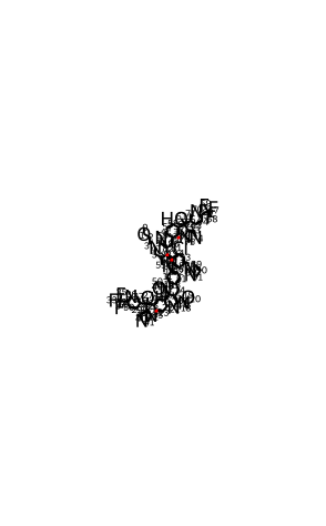 COCCN(Cc1cnn(-c2ccc(Cc3c(N(C)OC)nc4ccc(C(O)(c5ccc(C(F)(F)F)nc5)c5cncn5C)cc4c3N(C)OC)cc2)c1)c1nc2ccc(C(O)(c3ccc(C(F)(F)F)nc3)c3cncn3C)cc2c(Cl)c1Cc1ccc(-n2cccn2)cc1